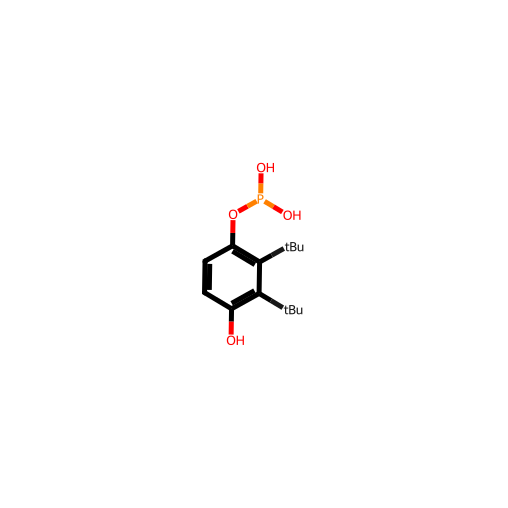 CC(C)(C)c1c(O)ccc(OP(O)O)c1C(C)(C)C